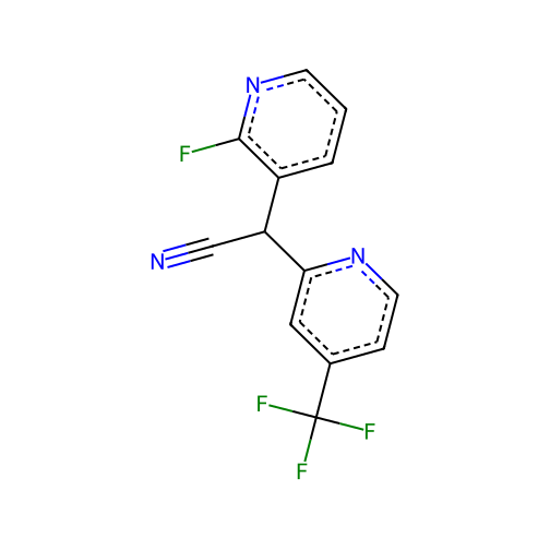 N#CC(c1cc(C(F)(F)F)ccn1)c1cccnc1F